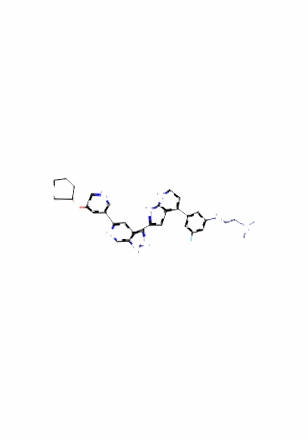 CN(C)CCNc1cc(F)cc(-c2ccnc3[nH]c(-c4n[nH]c5cnc(-c6cncc(OC7CCCCC7)c6)cc45)cc23)c1